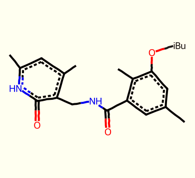 CCC(C)Oc1cc(C)cc(C(=O)NCc2c(C)cc(C)[nH]c2=O)c1C